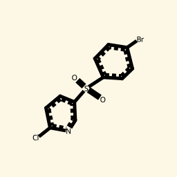 O=S(=O)(c1ccc(Br)cc1)c1ccc(Cl)nc1